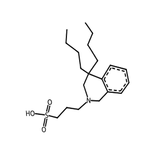 CCCCC1(CCCC)CN(CCCS(=O)(=O)O)Cc2ccccc21